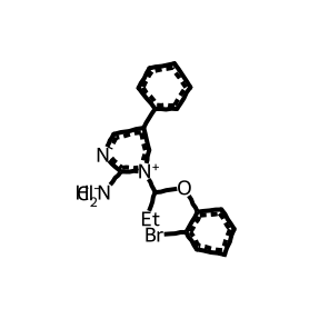 CCC(Oc1ccccc1Br)[n+]1cc(-c2ccccc2)cnc1N.[Cl-]